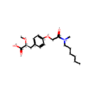 CCCCCCN(C)C(=O)COc1ccc(C[C@H](OC)C(=O)O)cc1